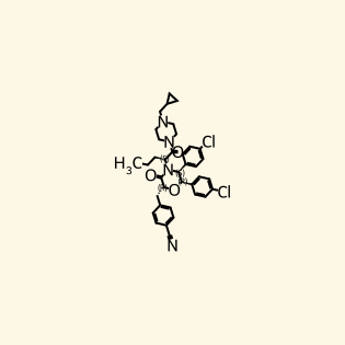 CCC[C@@H](C(=O)N1CCN(CC2CC2)CC1)N1C(=O)[C@@H](Cc2ccc(C#N)cc2)O[C@H](c2ccc(Cl)cc2)[C@@H]1c1ccc(Cl)cc1